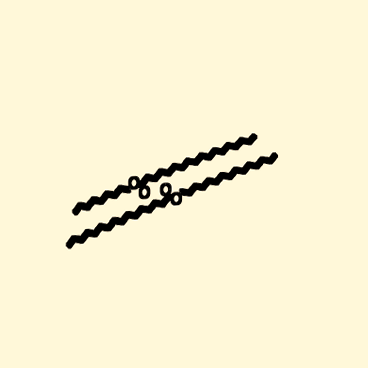 CCCCCCCCCCCCCCCCCC(=O)OCCCCCCCCC.CCCCCCCCCCCCCCCOC(=O)CCCCCCCCCCCCCCC